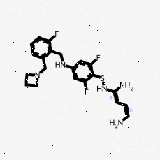 N/C=C\C=C(/N)NSc1c(F)cc(NCc2c(F)cccc2CN2CCC2)cc1F